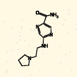 NC(=O)c1cnc(NCCN2CCCC2)cn1